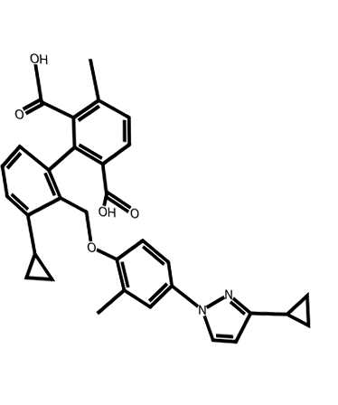 Cc1cc(-n2ccc(C3CC3)n2)ccc1OCc1c(-c2c(C(=O)O)ccc(C)c2C(=O)O)cccc1C1CC1